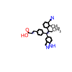 CC/C(=C(/c1ccc(/C=C/C(=O)O)cc1)c1ccc2[nH]ncc2c1)c1cccc(C#N)c1C